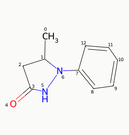 CC1CC(=O)NN1c1ccccc1